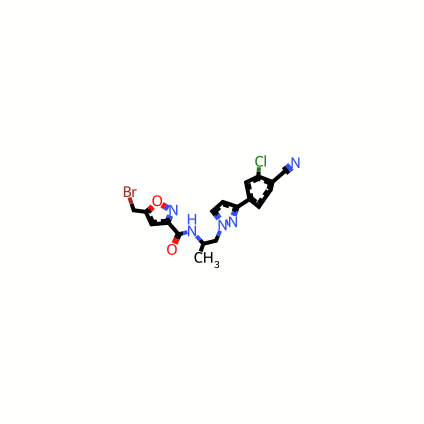 CC(Cn1ccc(-c2ccc(C#N)c(Cl)c2)n1)NC(=O)c1cc(CBr)on1